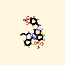 CCCCn1c(-c2ccccc2)nc(C(F)(F)F)c1CN(Cc1ccc(S(C)(=O)=O)cc1)Cc1ccc2c(c1)OCO2